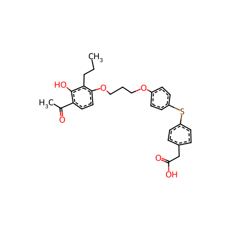 CCCc1c(OCCCOc2ccc(Sc3ccc(CC(=O)O)cc3)cc2)ccc(C(C)=O)c1O